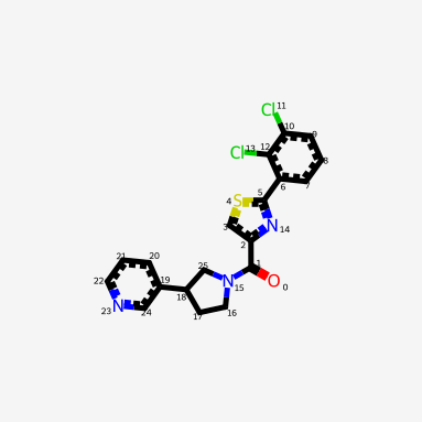 O=C(c1csc(-c2cccc(Cl)c2Cl)n1)N1CCC(c2cccnc2)C1